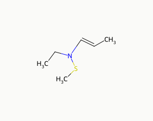 CC=CN(CC)SC